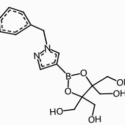 OCC1(CO)OB(c2cnn(Cc3ccccc3)c2)OC1(CO)CO